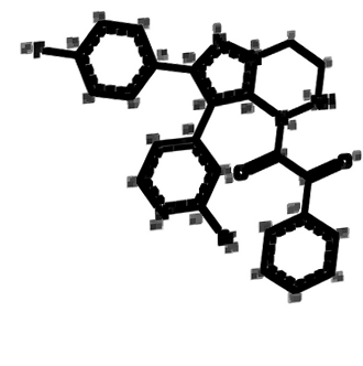 O=C(C(=O)N1NCCn2nc(-c3ccc(F)cc3)c(-c3ccnc(Br)c3)c21)c1ccccc1